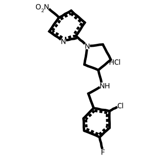 Cl.O=[N+]([O-])c1ccc(N2CCC(NCc3ccc(F)cc3Cl)C2)nc1